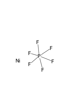 F[P-](F)(F)(F)(F)F.[Ni]